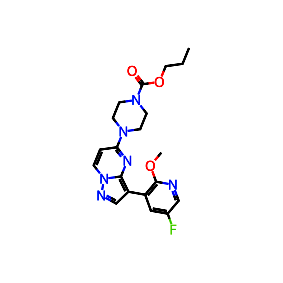 CCCOC(=O)N1CCN(c2ccn3ncc(-c4cc(F)cnc4OC)c3n2)CC1